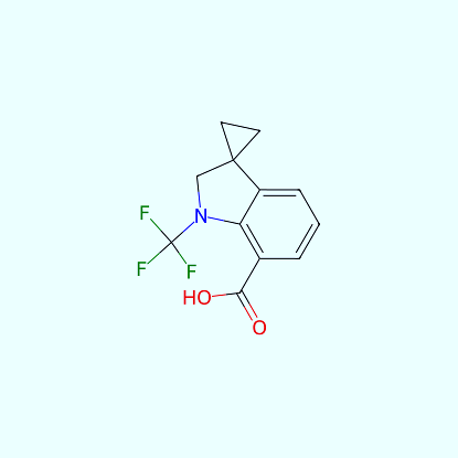 O=C(O)c1cccc2c1N(C(F)(F)F)CC21CC1